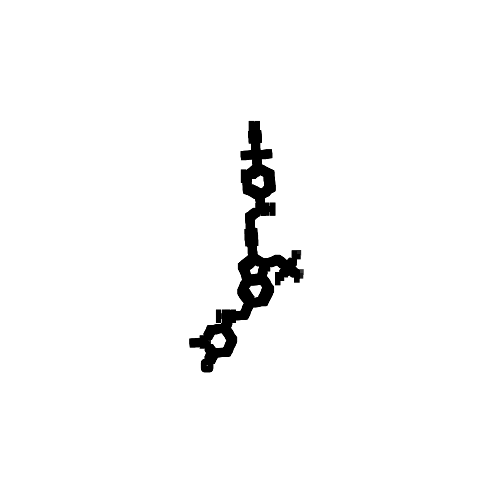 CN1CC(NCc2ccc3c(c2)cc(C#CCNc2ccc(C(C)(C)C#N)nc2)n3CC(F)(F)F)CCC1=O